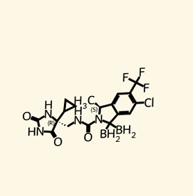 BC1(B)c2cc(Cl)c(C(F)(F)F)cc2[C@H](C)N1C(=O)NC[C@@]1(C2CC2)NC(=O)NC1=O